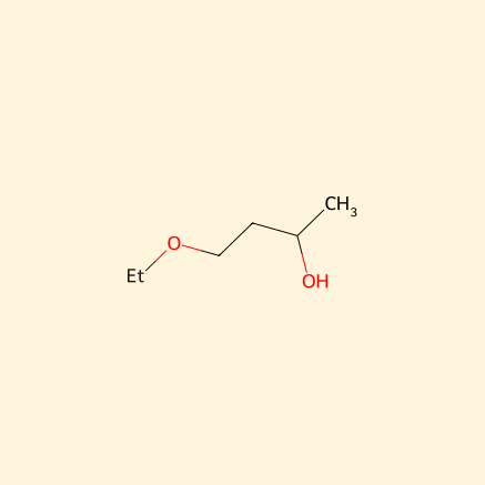 CCOCCC(C)O